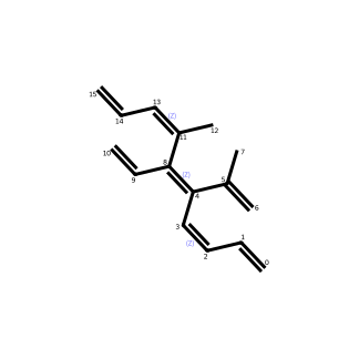 C=C\C=C/C(C(=C)C)=C(C=C)/C(C)=C\C=C